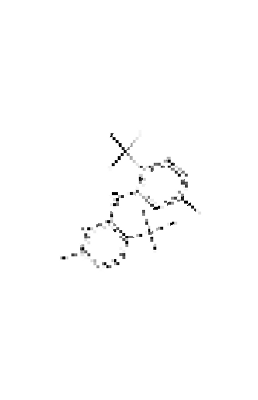 Cc1[c]c(Sc2[c]c(C)c[c]c2C(C)(C)C)c(C(C)(C)C)[c]c1